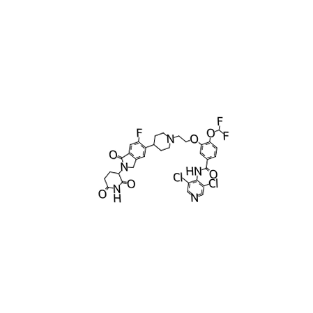 O=C1CCC(N2Cc3cc(C4CCN(CCOc5cc(C(=O)Nc6c(Cl)cncc6Cl)ccc5OC(F)F)CC4)c(F)cc3C2=O)C(=O)N1